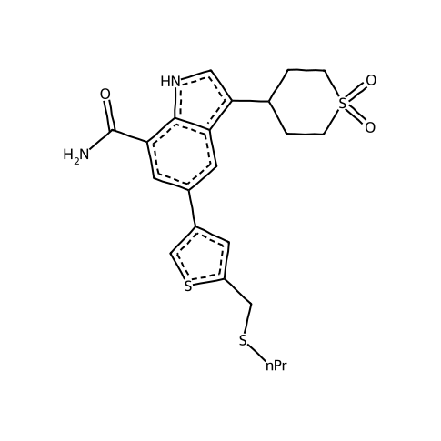 CCCSCc1cc(-c2cc(C(N)=O)c3[nH]cc(C4CCS(=O)(=O)CC4)c3c2)cs1